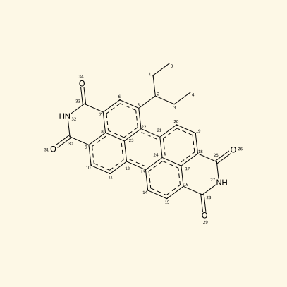 CCC(CC)c1cc2c3c(ccc4c5ccc6c7c(ccc(c1c34)c75)C(=O)NC6=O)C(=O)NC2=O